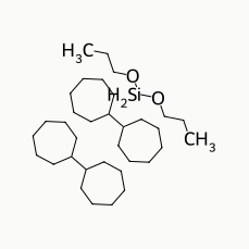 C1CCCC(C2CCCCCC2)CC1.C1CCCC(C2CCCCCC2)CC1.CCCO[SiH2]OCCC